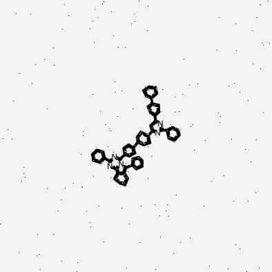 c1ccc(-c2ccc(-c3cc(-c4ccc(-c5ccc(-c6nc(-c7ccccc7)nc7c8ccccc8c(-c8ccccc8)n67)cc5)cc4)nc(-c4ccccc4)n3)cc2)cc1